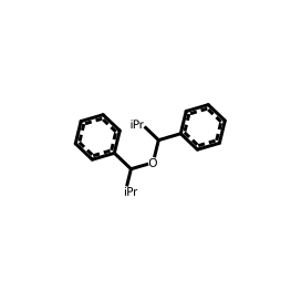 CC(C)C(OC(c1ccccc1)C(C)C)c1ccccc1